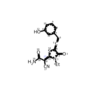 CCn1c(=O)c(=C=Cc2cccc(O)c2)s/c1=C(/C#N)C(N)=O